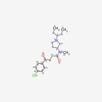 CCC(CC)N1CCC(N(C)C(=O)CCC(=O)c2ccc(Cl)cc2)C1